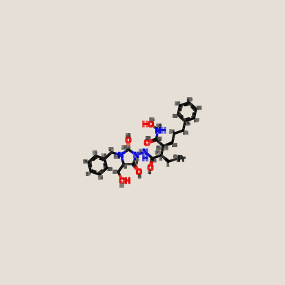 CC(C)C[C@@H](C(=O)NN1C(=O)C(CO)N(Cc2ccccc2)C1=O)[C@H](CCCc1ccccc1)C(=O)NO